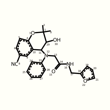 CC1(C)Oc2ccc(C#N)cc2C(N(CC(=O)NCc2ccco2)c2ccccc2)C1O